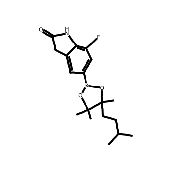 CC(C)CCC1(C)OB(c2cc(F)c3c(c2)CC(=O)N3)OC1(C)C